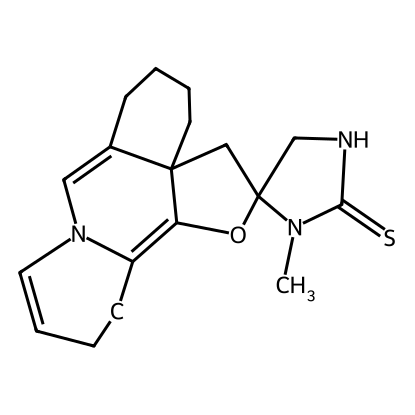 CN1C(=S)NCC12CC13CCCCC1=CN1C=CCCC1=C3O2